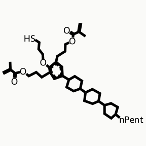 C=C(C)C(=O)OCCCc1cc(C2CCC(C3CCC(C4CCC(CCCCC)CC4)CC3)CC2)cc(CCCOC(=O)C(=C)C)c1OCCCS